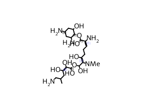 CN/C(=C(/O)CC/C=C(/N)[C@H](O)O[C@@H]1C(N)C[C@@H](N)CC1O)C(O)O[C@@H](O)/C(O)=C(/O)CC(C)CN